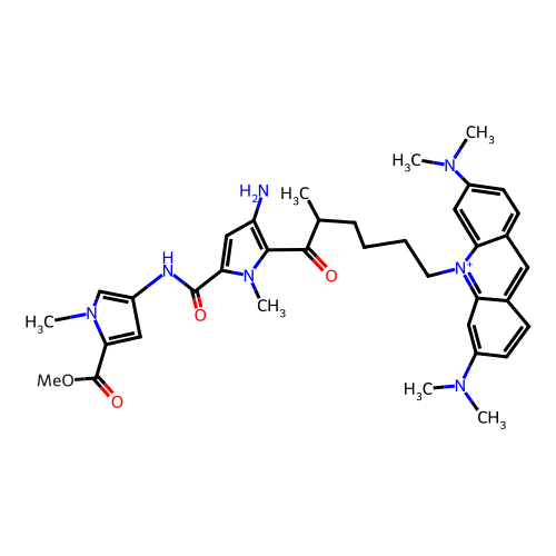 COC(=O)c1cc(NC(=O)c2cc(N)c(C(=O)C(C)CCCC[n+]3c4cc(N(C)C)ccc4cc4ccc(N(C)C)cc43)n2C)cn1C